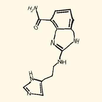 NC(=O)c1cccc2[nH]c(NCCc3cnc[nH]3)nc12